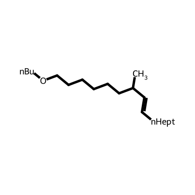 CCCCCCC/C=C/C(C)CCCCCCOCCCC